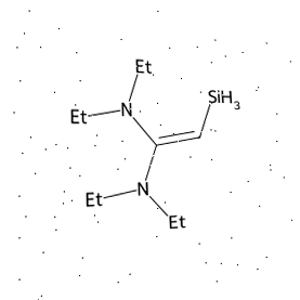 CCN(CC)C(=C[SiH3])N(CC)CC